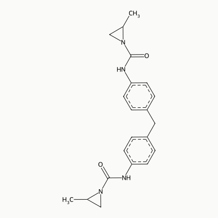 CC1CN1C(=O)Nc1ccc(Cc2ccc(NC(=O)N3CC3C)cc2)cc1